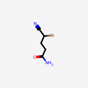 N#CC(Br)CCC(N)=O